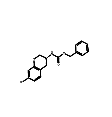 O=C(N[C@@H]1COc2cc(Br)ccc2C1)OCc1ccccc1